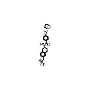 CCN(C)Cc1ccc2c(c1)CC[C@H](NC(=O)c1ccc(OC[C@@H]3CCCO3)cc1)C2